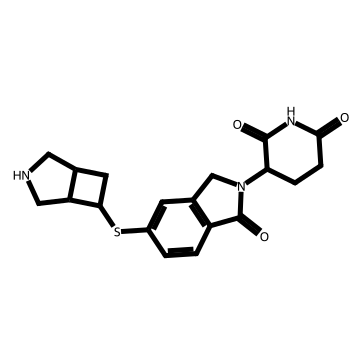 O=C1CCC(N2Cc3cc(SC4CC5CNCC54)ccc3C2=O)C(=O)N1